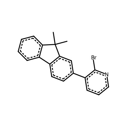 CC1(C)c2ccccc2-c2ccc(-c3cccnc3Br)cc21